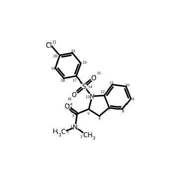 CN(C)C(=O)C1Cc2ccccc2N1S(=O)(=O)c1ccc(Cl)cc1